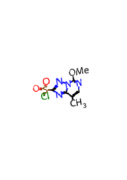 COc1ncc(C)c2nc(S(=O)(=O)Cl)nn12